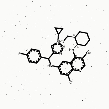 N#Cc1cnc2c(Cl)cc(NC(c3ccc(F)cc3)c3cn(C4CC4)nn3)cc2c1N[C@H]1CCCC[C@@H]1CO